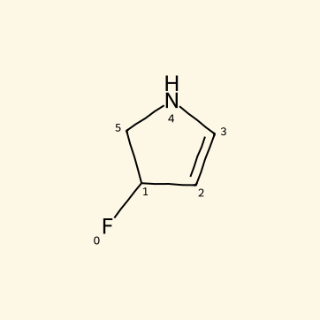 FC1C=CNC1